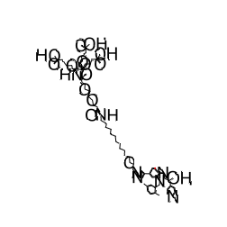 Cc1ccc(C)c(Cn2c(C(O)c3ccncc3)nc3ccc(-c4cnn(CCOCCCCCCCCCCCCNC(=O)CCOCCOCCC(=O)NC(COCCC(=O)O)(COCCC(=O)O)COCCC(=O)O)c4)cc32)c1